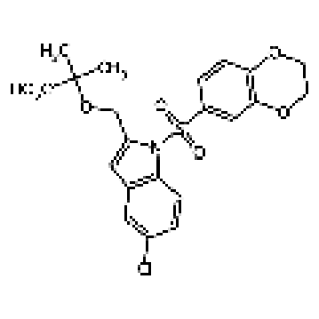 CC(C)(OCc1cc2cc(Cl)ccc2n1S(=O)(=O)c1ccc2c(c1)OCCO2)C(=O)O